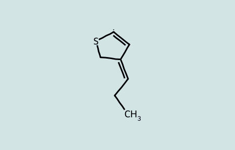 CCC=C1C=[C]SC1